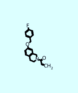 C=CC(=O)N1CCc2ccc(OCc3ccc(F)cc3)cc2C1